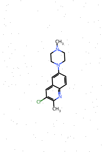 Cc1nc2ccc(N3CCN(C)CC3)cc2cc1Cl